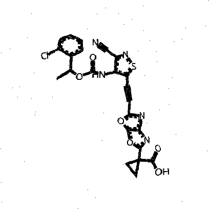 CC(OC(=O)Nc1c(C#N)nsc1C#Cc1nc2nc(C3(C(=O)O)CC3)oc2o1)c1ccccc1Cl